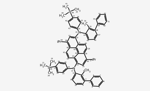 Cc1c(-c2ccccc2)cccc1N(c1ccc([Si](C)(C)C)cc1)c1cc(C(C)C)c2ccc3c(N(c4ccc([Si](C)(C)C)cc4)c4cccc(-c5ccccc5)c4C)cc(C(C)C)c4ccc1c2c43